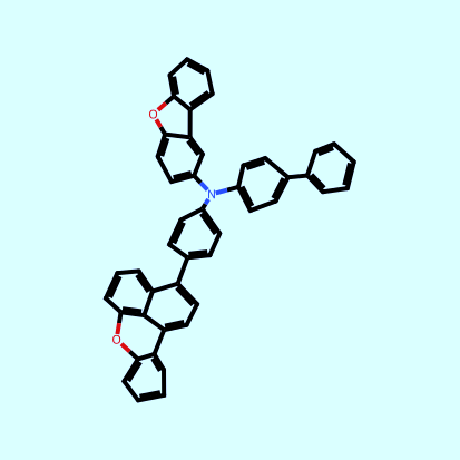 c1ccc(-c2ccc(N(c3ccc(-c4ccc5c6c(cccc46)Oc4ccccc4-5)cc3)c3ccc4oc5ccccc5c4c3)cc2)cc1